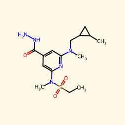 CCS(=O)(=O)N(C)c1cc(C(=O)NN)cc(N(C)CC2CC2C)n1